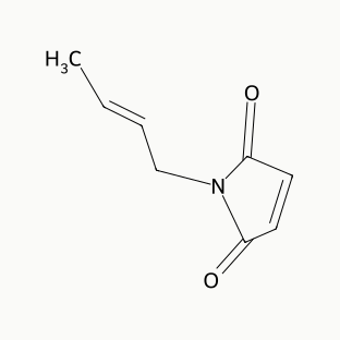 CC=CCN1C(=O)C=CC1=O